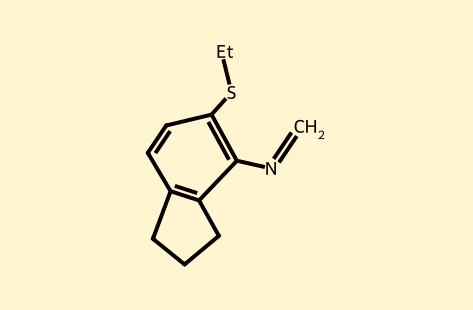 C=Nc1c(SCC)ccc2c1CCC2